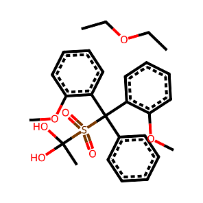 CCOCC.COc1ccccc1C(c1ccccc1)(c1ccccc1OC)S(=O)(=O)C(C)(O)O